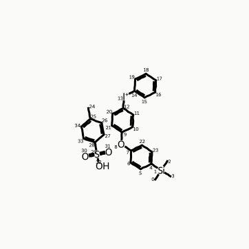 C[Si](C)(C)c1ccc(Oc2ccc([I+]c3ccccc3)cc2)cc1.Cc1ccc(S(=O)(=O)O)cc1